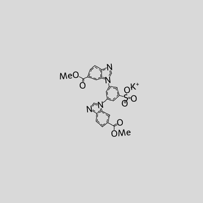 COC(=O)c1ccc2ncn(-c3cc(-n4cnc5ccc(C(=O)OC)cc54)cc(S(=O)(=O)[O-])c3)c2c1.[K+]